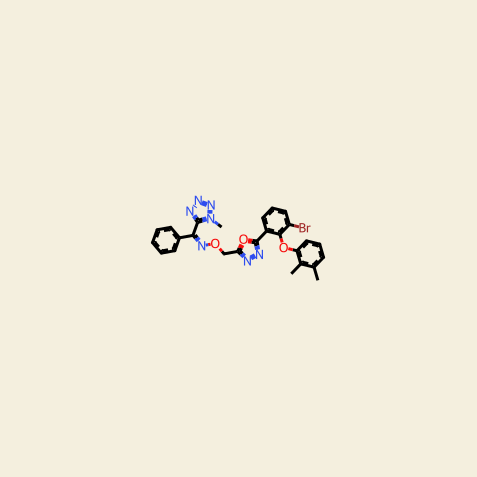 Cc1cccc(Oc2c(Br)cccc2-c2nnc(CO/N=C(/c3ccccc3)c3nnnn3C)o2)c1C